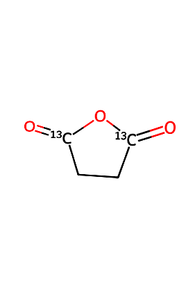 O=[13C]1CC[13C](=O)O1